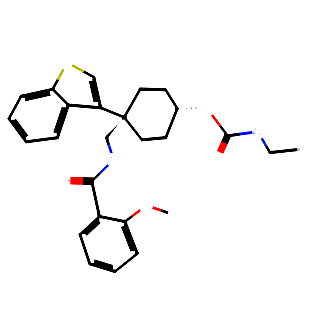 CCNC(=O)O[C@H]1CC[C@@](CNC(=O)c2ccccc2OC)(c2csc3ccccc32)CC1